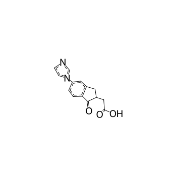 O=C(O)CC1Cc2cc(-n3ccnc3)ccc2C1=O